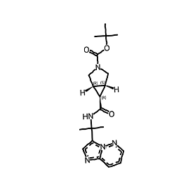 CC(C)(C)OC(=O)N1C[C@@H]2[C@H](C1)[C@H]2C(=O)NC(C)(C)c1cnc2cccnn12